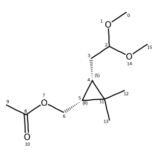 COC(C[C@H]1[C@@H](COC(C)=O)C1(C)C)OC